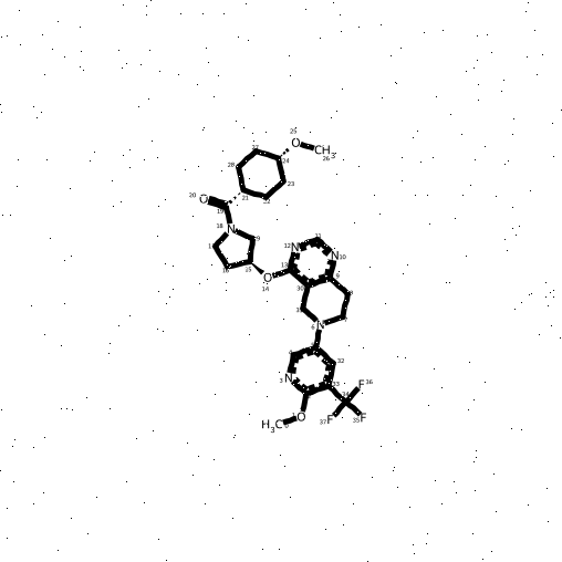 COc1ncc(N2CCc3ncnc(O[C@H]4CCN(C(=O)[C@H]5CC[C@@H](OC)CC5)C4)c3C2)cc1C(F)(F)F